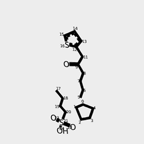 C1CCCC1.CCCCC(=O)Cc1cccs1.CCCCS(=O)(=O)O